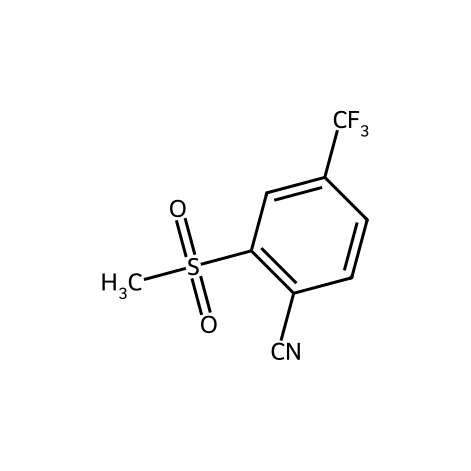 CS(=O)(=O)c1cc(C(F)(F)F)ccc1C#N